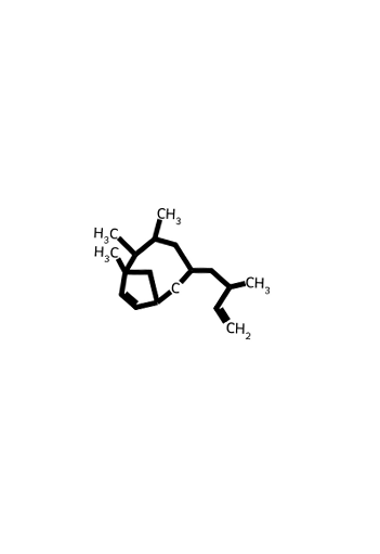 C=CC(C)CC1CC2C=CC(C)(C2)C(C)C(C)C1